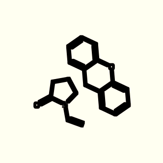 C=CN1CCCC1=O.c1ccc2c(c1)Cc1ccccc1O2